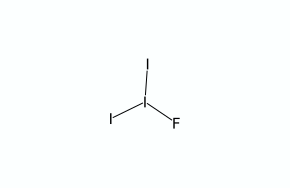 FI(I)I